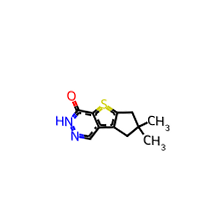 CC1(C)Cc2sc3c(=O)[nH]ncc3c2C1